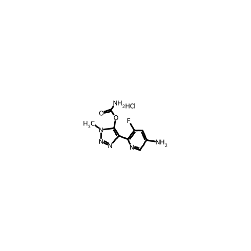 Cl.Cn1nnc(-c2ncc(N)cc2F)c1OC(N)=O